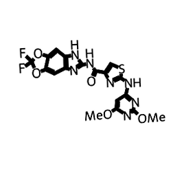 COc1cc(Nc2nc(C(=O)Nc3nc4cc5c(cc4[nH]3)OC(F)(F)O5)cs2)nc(OC)n1